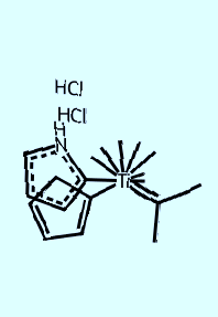 C[C](C)=[Ti]([CH3])([CH3])([CH3])([CH3])([CH3])([CH3])([CH3])([C]1=CC=CC1)[c]1ccc[nH]1.Cl.Cl